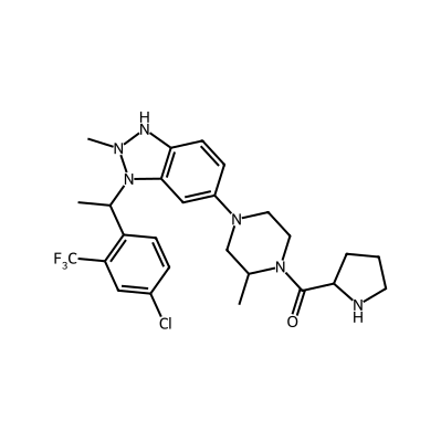 CC1CN(c2ccc3c(c2)N(C(C)c2ccc(Cl)cc2C(F)(F)F)N(C)N3)CCN1C(=O)C1CCCN1